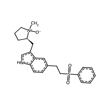 C[N+]1([O-])CCC[C@@H]1Cc1c[nH]c2ccc(CCS(=O)(=O)c3ccccc3)cc12